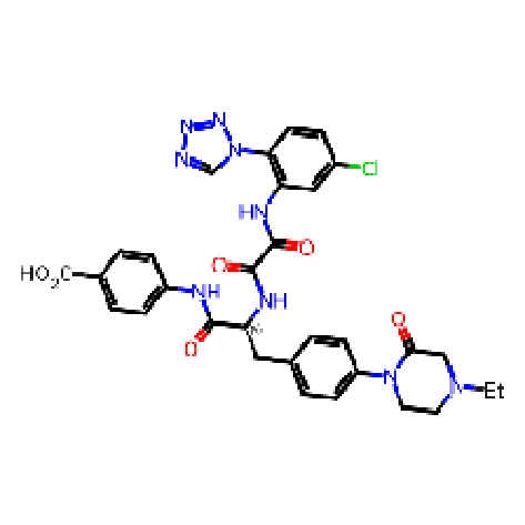 CCN1CCN(c2ccc(C[C@H](NC(=O)C(=O)Nc3cc(Cl)ccc3-n3cnnn3)C(=O)Nc3ccc(C(=O)O)cc3)cc2)C(=O)C1